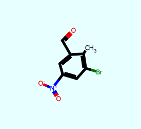 Cc1c(Br)cc([N+](=O)[O-])cc1C=O